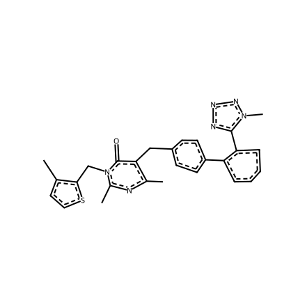 Cc1ccsc1Cn1c(C)nc(C)c(Cc2ccc(-c3ccccc3-c3nnnn3C)cc2)c1=O